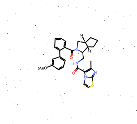 COc1cccc(-c2ccccc2C(=O)N2C[C@@H]3CCC[C@@H]3[C@H]2CNC(=O)c2c(C)nc3sccn23)c1